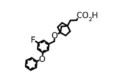 O=C(O)CCC12CCC(OCc3cc(F)cc(Oc4ccccc4)c3)(CC1)C2